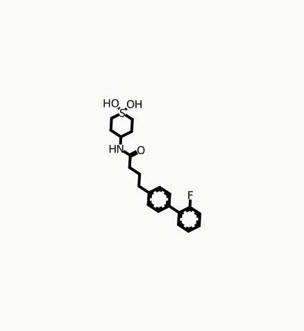 O=C(CCCc1ccc(-c2ccccc2F)cc1)NC1CCS(O)(O)CC1